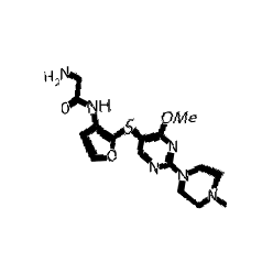 COc1nc(N2CCN(C)CC2)ncc1Sc1occc1NC(=O)CN